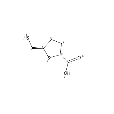 O=C(O)[C@H]1CC[C@H](CS)S1